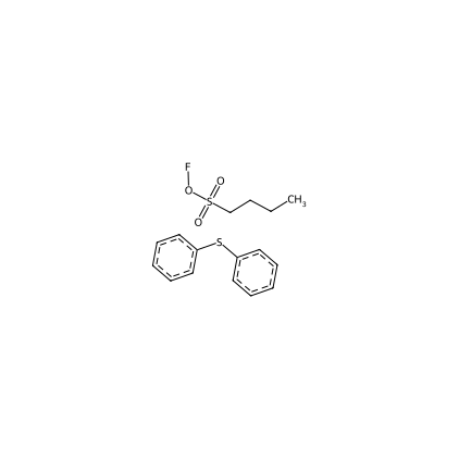 CCCCS(=O)(=O)OF.c1ccc(Sc2ccccc2)cc1